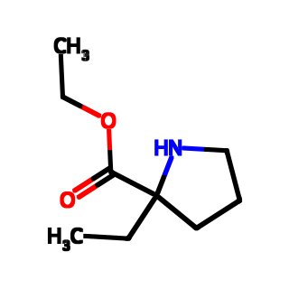 CCOC(=O)C1(CC)CCCN1